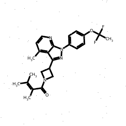 CC(C)=C(C)C(=O)N1CC(c2nn(-c3ccc(OC(C)(F)F)cc3)c3nccc(C)c23)C1